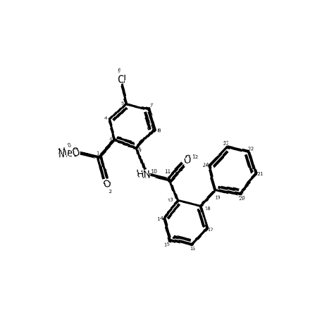 COC(=O)c1cc(Cl)ccc1NC(=O)c1ccccc1-c1ccccc1